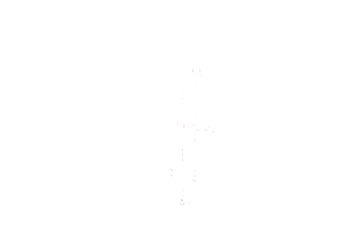 CC(=O)c1ccc(CCS(=O)(=O)c2ccc(Cl)cc2)cc1